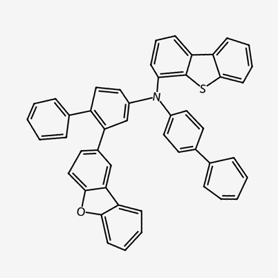 c1ccc(-c2ccc(N(c3ccc(-c4ccccc4)c(-c4ccc5oc6ccccc6c5c4)c3)c3cccc4c3sc3ccccc34)cc2)cc1